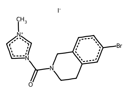 C[n+]1ccn(C(=O)N2CCc3cc(Br)ccc3C2)c1.[I-]